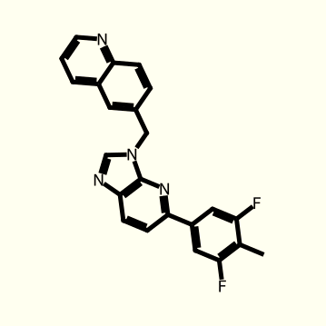 Cc1c(F)cc(-c2ccc3ncn(Cc4ccc5ncccc5c4)c3n2)cc1F